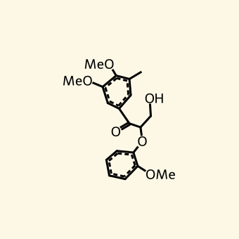 COc1ccccc1OC(CO)C(=O)c1cc(C)c(OC)c(OC)c1